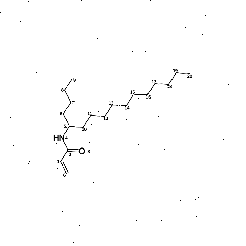 C=CC(=O)NC(CCCC)CCCCCCCCCCC